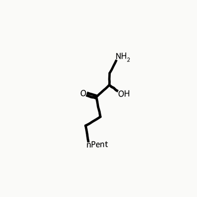 CCCCCCCC(=O)C(O)CN